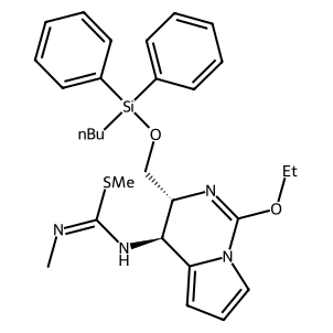 CCCC[Si](OC[C@@H]1N=C(OCC)n2cccc2[C@H]1N/C(=N\C)SC)(c1ccccc1)c1ccccc1